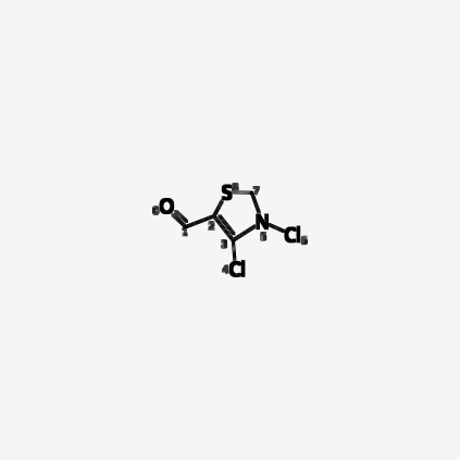 O=CC1=C(Cl)N(Cl)CS1